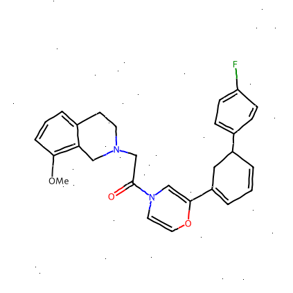 COc1cccc2c1CN(CC(=O)N1C=COC(C3=CC=CC(c4ccc(F)cc4)C3)=C1)CC2